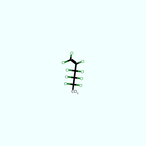 ClC(Cl)=C(Cl)C(Cl)(Cl)C(Cl)(Cl)C(Cl)(Cl)C(Cl)(Cl)Cl